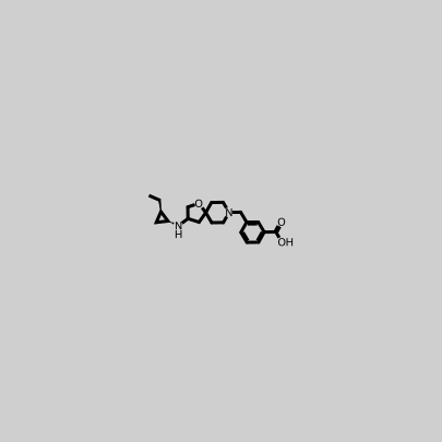 CC[C@@H]1C[C@H]1NC1COC2(CCN(Cc3cccc(C(=O)O)c3)CC2)C1